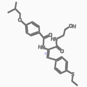 CCSc1ccc(/C=C(/NC(=O)c2ccc(OCC(C)C)cc2)C(=O)NCCO)cc1